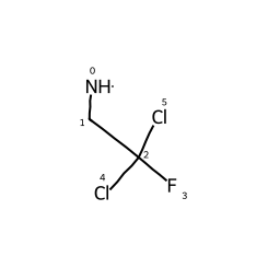 [NH]CC(F)(Cl)Cl